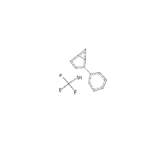 FC(F)(F)S.c1ccc(-c2ccc3cc2-3)cc1